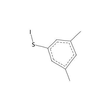 Cc1cc(C)cc(SI)c1